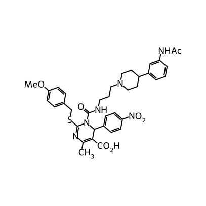 COc1ccc(CSC2=NC(C)=C(C(=O)O)C(c3ccc([N+](=O)[O-])cc3)N2C(=O)NCCCN2CCC(c3cccc(NC(C)=O)c3)CC2)cc1